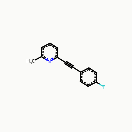 Cc1cccc(C#Cc2ccc(F)cc2)n1